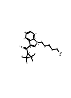 CC1(C)C(C(=O)c2cn(CCCCCBr)c3ccccc23)C1(C)C